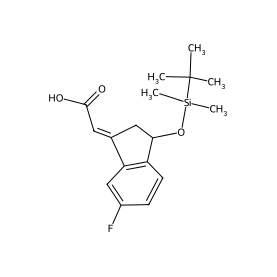 CC(C)(C)[Si](C)(C)OC1CC(=CC(=O)O)c2cc(F)ccc21